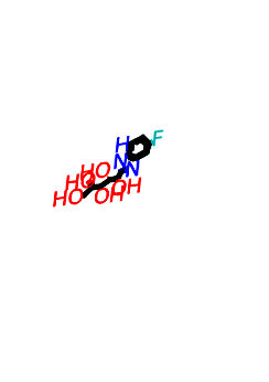 OCC(O)[C@H](O)[C@H](O)C(O)c1nc2cc(F)ccc2[nH]1